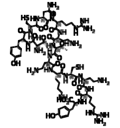 C[C@@H](O)[C@H](N)C(=O)N[C@@H](Cc1ccc(O)cc1)C(=O)N[C@@H](CS)C(=O)N[C@@H](CC(N)=O)C(=O)N[C@@H](CCCNC(=N)N)C(=O)N[C@@H](CCN)C(=O)N[C@H](C(=O)N[C@H](CCN)C(=O)N[C@@H](CCCCN)C(=O)N[C@@H](CS)C(=O)N[C@@H](CCN)C(=O)N[C@@H](CCCNC(=N)N)C(=O)N[C@@H](Cc1ccc(O)cc1)C(=O)O)[C@@H](C)O